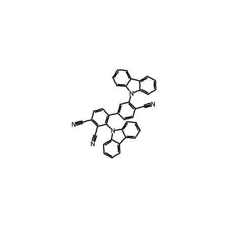 N#Cc1ccc(-c2ccc(C#N)c(C#N)c2-n2c3ccccc3c3ccccc32)cc1-n1c2ccccc2c2ccccc21